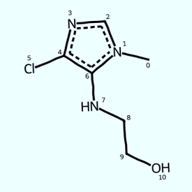 Cn1cnc(Cl)c1NCCO